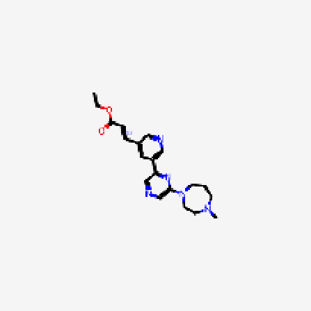 CCOC(=O)/C=C/c1cncc(-c2cncc(N3CCCN(C)CC3)n2)c1